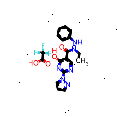 CCN(Nc1ccccc1)C(=O)c1cnc(-n2cccn2)nc1O.O=C(O)C(F)(F)F